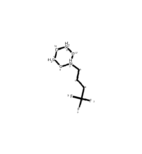 FC(F)(F)CCC[SiH]1O[SiH2]O[SiH2]O1